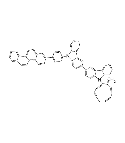 C=C1/C=C\C=C/C/C=C\C=C/1n1c2ccccc2c2cc(-c3ccc4c(c3)c3ccccc3n4-c3ccc(-c4ccc5c(ccc6c7ccccc7ccc56)c4)cc3)ccc21